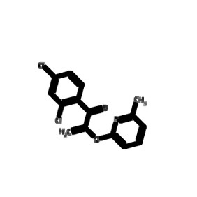 C=C(Oc1cccc(C)n1)C(=O)c1ccc(Cl)cc1Cl